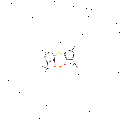 Cc1cc2c(c(C(C)(C)C)c1)OP(F)Oc1c(cc(C)cc1C(C)(C)C)S2